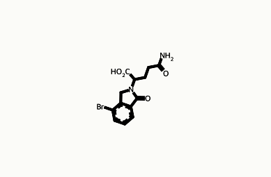 NC(=O)CCC(C(=O)O)N1Cc2c(Br)cccc2C1=O